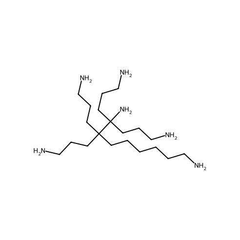 NCCCCCCC(CCCN)(CCCN)C(N)(CCCN)CCCN